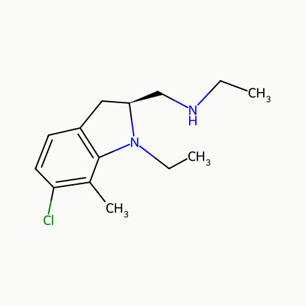 CCNC[C@@H]1Cc2ccc(Cl)c(C)c2N1CC